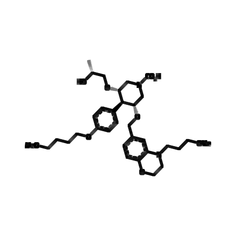 COCCCCOc1ccc([C@@H]2[C@@H](OCc3ccc4c(c3)N(CCCOC)CCO4)CN(C(=O)O)C[C@H]2OC[C@@H](C)O)cc1